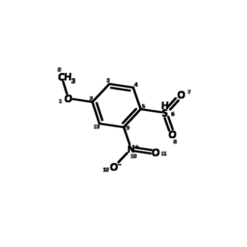 COc1ccc([SH](=O)=O)c([N+](=O)[O-])c1